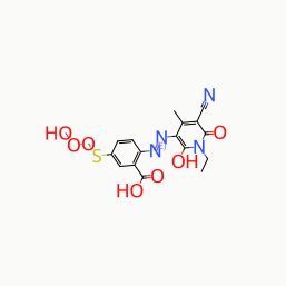 CCn1c(O)c(/N=N/c2ccc(SOOO)cc2C(=O)O)c(C)c(C#N)c1=O